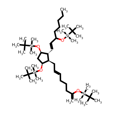 C=C(CCCC=CC[C@@H]1[C@@H](C=CC(CCCCC)O[Si](C)(C)C(C)(C)C)[C@H](O[Si](C)(C)C(C)(C)C)C[C@@H]1O[Si](C)(C)C(C)(C)C)O[Si](C)(C)C(C)(C)C